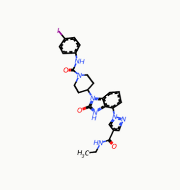 CCNC(=O)c1cnn(-c2cccc3c2[nH]c(=O)n3C2CCN(C(=O)Nc3ccc(I)cc3)CC2)c1